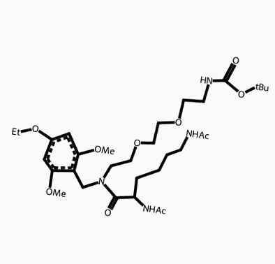 CCOc1cc(OC)c(CN(CCOCCOCCNC(=O)OC(C)(C)C)C(=O)C(CCCCNC(C)=O)NC(C)=O)c(OC)c1